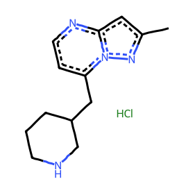 Cc1cc2nccc(CC3CCCNC3)n2n1.Cl